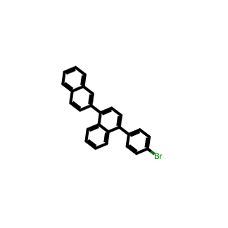 Brc1ccc(-c2ccc(-c3ccc4ccccc4c3)c3ccccc23)cc1